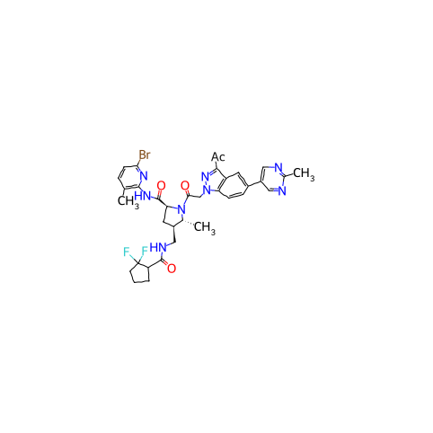 CC(=O)c1nn(CC(=O)N2[C@H](C)[C@@H](CNC(=O)C3CCCC3(F)F)C[C@H]2C(=O)Nc2nc(Br)ccc2C)c2ccc(-c3cnc(C)nc3)cc12